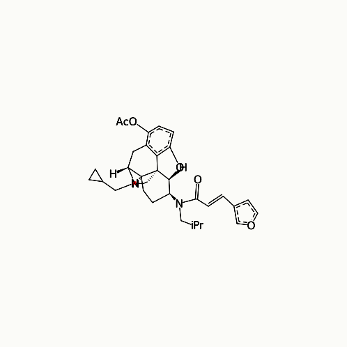 CC(=O)Oc1ccc2c3c1C[C@@H]1[C@@H]4CC[C@H](N(CC(C)C)C(=O)C=Cc5ccoc5)[C@@H](O2)[C@]34CCN1CC1CC1